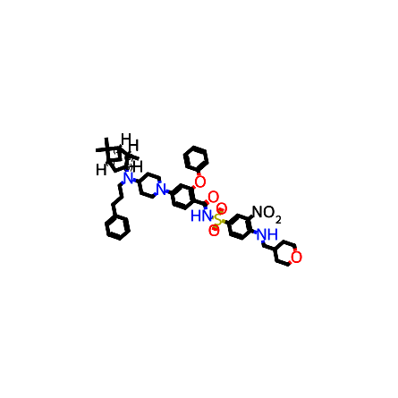 C[C@@H]1[C@@H](N(CCCc2ccccc2)C2CCN(c3ccc(C(=O)NS(=O)(=O)c4ccc(NCC5CCOCC5)c([N+](=O)[O-])c4)c(Oc4ccccc4)c3)CC2)C[C@H]2C[C@@H]1C2(C)C